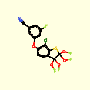 N#Cc1cc(F)cc(Oc2ccc3c(c2Cl)SC(OF)(OF)C3(OF)OF)c1